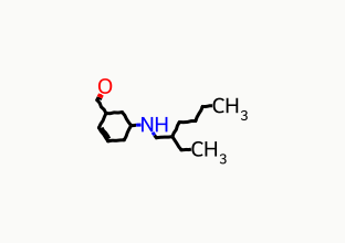 CCCCC(CC)CNC1CC=CC(C=O)C1